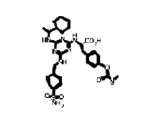 CC(Nc1nc(NCc2ccc(S(N)(=O)=O)cc2)nc(N[C@@H](Cc2ccc(OC(=O)N(C)C)cc2)C(=O)O)n1)C1CCCCC1